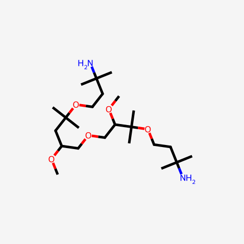 COC(COCC(OC)C(C)(C)OCCC(C)(C)N)CC(C)(C)OCCC(C)(C)N